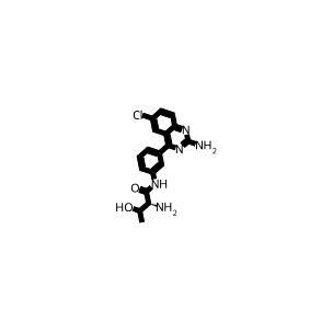 CC(O)[C@@H](N)C(=O)Nc1cccc(-c2nc(N)nc3ccc(Cl)cc23)c1